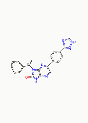 C[C@H](c1ccccc1)n1c(=O)[nH]c2ncc(-c3ccc(-c4nc[nH]n4)cc3)nc21